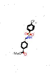 COC(=O)[C@H]1CC[C@H](CNS(=O)(=O)c2ccc(C(F)(F)F)cc2)CC1